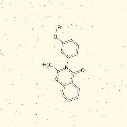 [CH2]c1nc2ccccc2c(=O)n1-c1cccc(OC(C)C)c1